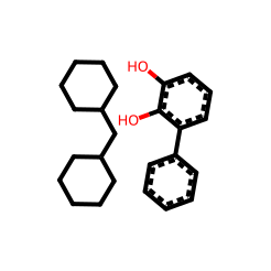 C1CCC(CC2CCCCC2)CC1.Oc1cccc(-c2ccccc2)c1O